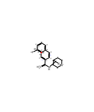 C=C(NC1CN2CCC1CC2)C(/C=C\c1cccc(F)c1)=C/NC